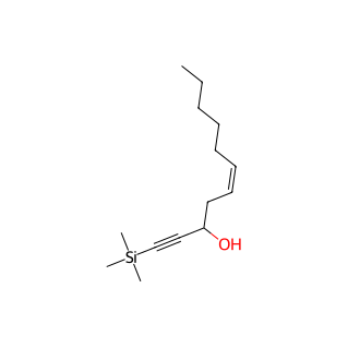 CCCCC/C=C\CC(O)C#C[Si](C)(C)C